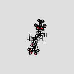 CC(C)(c1ccc(O)c(N2C(=O)c3ccc4c5c(ccc(c35)C2=O)C(=O)N(c2cc(-n3c5ccccc5c5ccccc53)cc(-n3c5ccccc5c5ccccc53)c2)C4=O)c1)c1ccc(O)c(-n2c(=O)c3cc4c(=O)n(-c5c(-n6c7ccccc7c7ccccc76)cc(-n6c7ccccc7c7ccccc76)cc5-n5c6ccccc6c6ccccc65)c(=O)c4cc3c2=O)c1